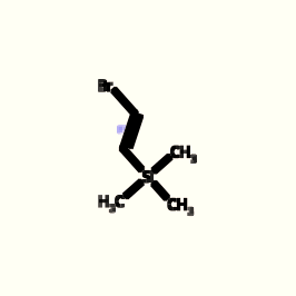 C[Si](C)(C)/C=C/Br